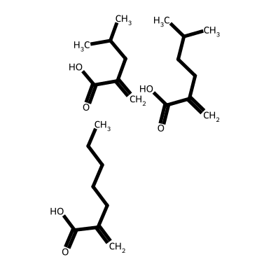 C=C(CC(C)C)C(=O)O.C=C(CCC(C)C)C(=O)O.C=C(CCCCC)C(=O)O